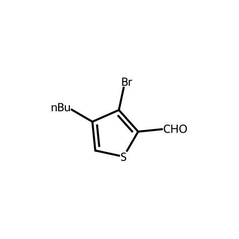 CCCCc1csc(C=O)c1Br